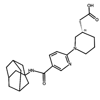 O=C(O)C[C@@H]1CCCN(c2ccc(C(=O)NC34CC5CC(CC(C5)C3)C4)cn2)C1